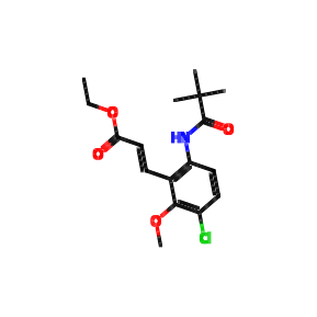 CCOC(=O)C=Cc1c(NC(=O)C(C)(C)C)ccc(Cl)c1OC